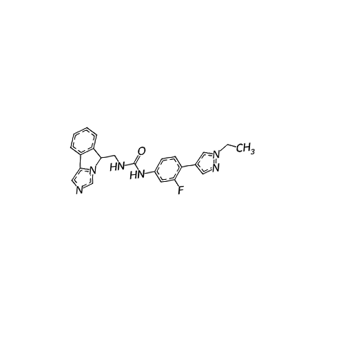 CCn1cc(-c2ccc(NC(=O)NCC3c4ccccc4-c4cncn43)cc2F)cn1